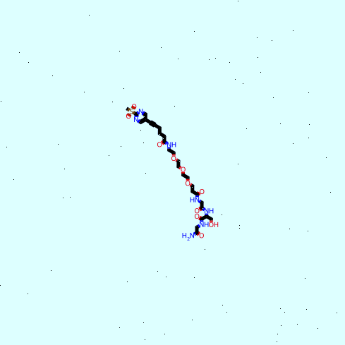 CS(=O)(=O)c1ncc(C#CCCCC(=O)NCCOCCOCCOCCC(=O)NCC(=O)NC(CO)C(=O)NCC(N)=O)cn1